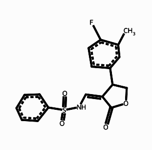 Cc1cc(C2COC(=O)C2=CNS(=O)(=O)c2ccccc2)ccc1F